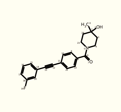 CC1(O)CCN(C(=O)c2ccc(C#Cc3cccc(F)c3)cc2)CC1